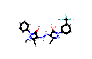 Cc1nn(-c2cccc(C(F)(F)F)c2)c(O)c1/N=N/c1c(C)n(C)n(-c2ccccc2)c1=O